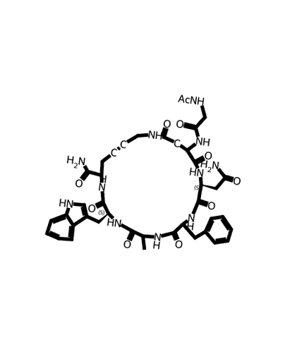 CC(=O)NCC(=O)NC1CC(=O)NCCCCC(C(N)=O)NC(=O)[C@H](Cc2c[nH]c3ccccc23)NC(=O)C(C)NC(=O)C(Cc2ccccc2)NC(=O)[C@H](CC(N)=O)NC1=O